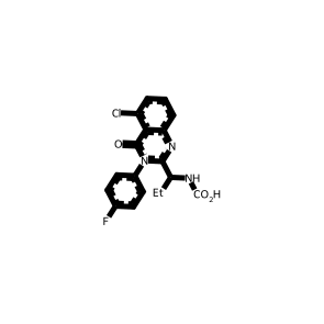 CCC(NC(=O)O)c1nc2cccc(Cl)c2c(=O)n1-c1ccc(F)cc1